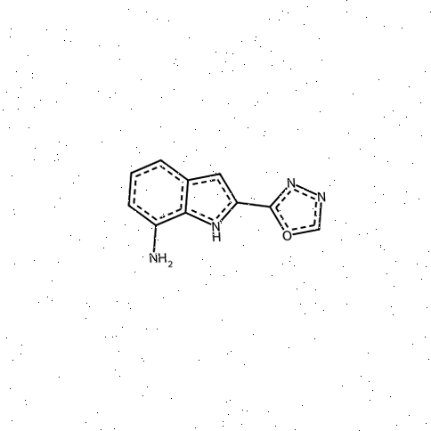 Nc1cccc2cc(-c3nnco3)[nH]c12